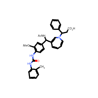 COc1cc(C(NC(C)=O)C2=CN(C(CC(=O)O)c3ccccc3)C=CC=C2)ccc1NC(=O)Nc1ccccc1C